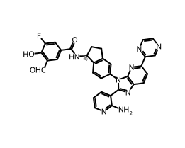 Nc1ncccc1-c1nc2ccc(-c3cnccn3)nc2n1-c1ccc2c(c1)CC[C@@H]2NC(=O)c1cc(F)c(O)c(C=O)c1